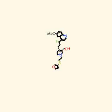 COc1ccc2nccc([C@H](F)CC[C@@H]3CCN(CCSc4ccoc4)C[C@@H]3CO)c2c1